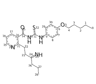 CCCCCOc1ccc(NC(=S)NC(=O)c2cccnc2CCC(=N)CCC)cc1